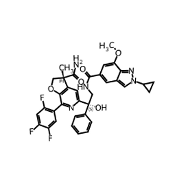 COc1cc(C(=O)NC[C@@](O)(c2ccccc2)c2cc3c(c(-c4cc(F)c(F)cc4F)n2)OC[C@]3(C)C(N)=O)cc2cn(C3CC3)nc12